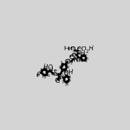 O=C(COc1ccc(C2C(SCC(O)c3ccc(F)cc3)C(=O)N2c2ccccc2)c(O)c1)N[C@@H](C(=O)N[C@H](CO)C(=O)O)c1ccccc1